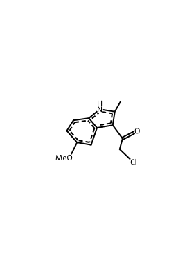 COc1ccc2[nH]c(C)c(C(=O)CCl)c2c1